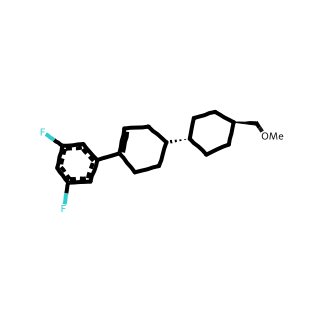 COC[C@H]1CC[C@H](C2CC=C(c3cc(F)cc(F)c3)CC2)CC1